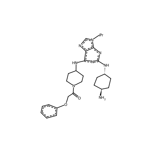 CC(C)n1cnc2c(NC3CCN(C(=O)COc4ccccc4)CC3)nc(N[C@H]3CC[C@H](N)CC3)nc21